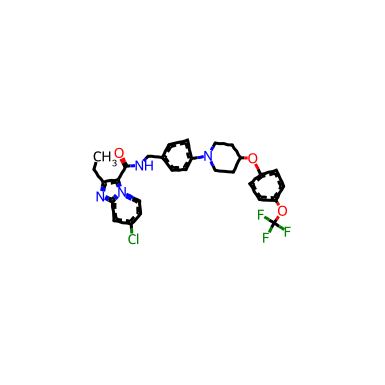 CCc1nc2cc(Cl)ccn2c1C(=O)NCc1ccc(N2CCC(Oc3ccc(OC(F)(F)F)cc3)CC2)cc1